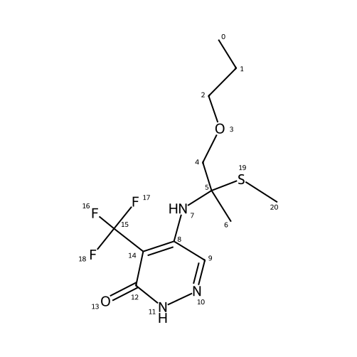 CCCOCC(C)(Nc1cn[nH]c(=O)c1C(F)(F)F)SC